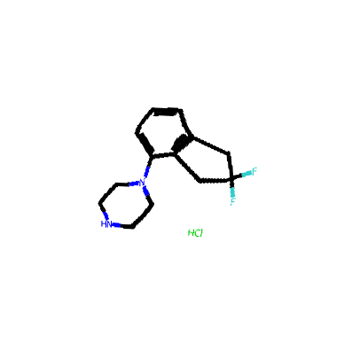 Cl.FC1(F)Cc2cccc(N3CCNCC3)c2C1